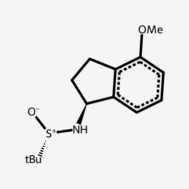 COc1cccc2c1CC[C@@H]2N[S@@+]([O-])C(C)(C)C